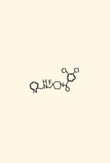 O=C(c1ccc(Cl)c(Cl)c1)N1CCC(F)(CNCc2ccccn2)CC1